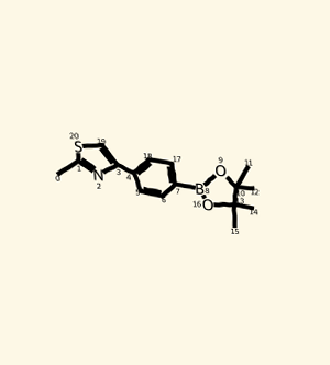 Cc1nc(-c2ccc(B3OC(C)(C)C(C)(C)O3)cc2)cs1